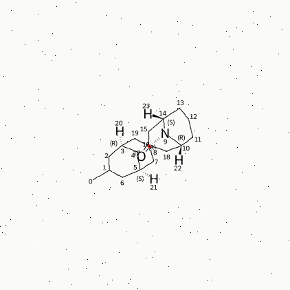 CC1C[C@@H]2C[C@H](C1)C[C@@H](N1[C@@H]3CCC[C@H]1CC(=O)C3)C2